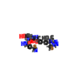 Cc1ncsc1-c1ccc(C(C)NC(=O)[C@@H]2C[C@@H](O)CN2C(=O)C(NC(=O)COc2ccc(-c3ccc(C4=N[C@@H](CC(=O)O)c5nnc(C)n5-c5sc(C)c(C)c54)cc3)cc2C(F)(F)F)C(C)(C)C)cc1